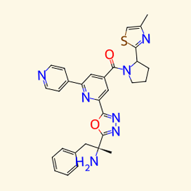 Cc1csc(C2CCCN2C(=O)c2cc(-c3ccncc3)nc(-c3nnc([C@](C)(N)Cc4ccccc4)o3)c2)n1